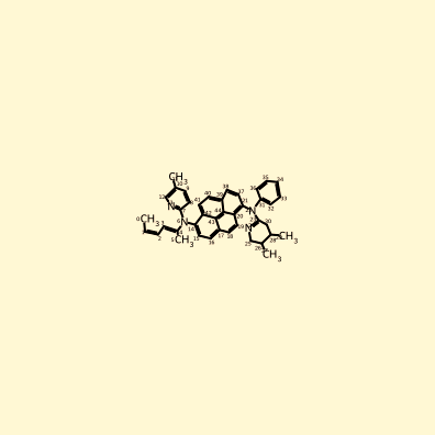 C/C=C\C=C(/C)N(c1ccc(C)cn1)c1ccc2ccc3c(N(C4=NCC(C)C(C)C4)c4ccccc4)ccc4ccc1c2c43